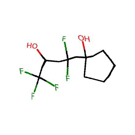 OC(C(F)(F)F)C(F)(F)C1(O)CCCC1